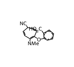 CNC1=C(Oc2ccccc2C(=O)O)C=CC(C#N)C=C1